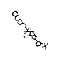 Cc1c(C(=O)NCCC2CCN(Cc3ccccc3)CC2)cnc2cc(-c3cccc(OC(F)(F)F)c3)nn12